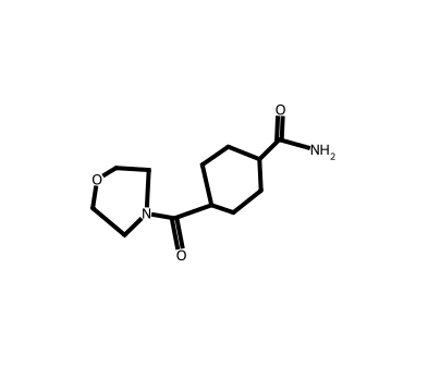 NC(=O)C1CCC(C(=O)N2CCOCC2)CC1